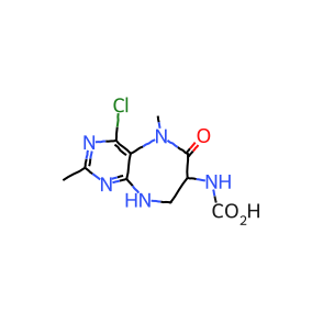 Cc1nc(Cl)c2c(n1)NCC(NC(=O)O)C(=O)N2C